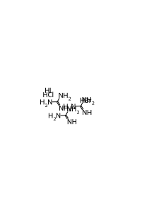 Br.Cl.I.N=C(N)N.N=C(N)N.N=C(N)N